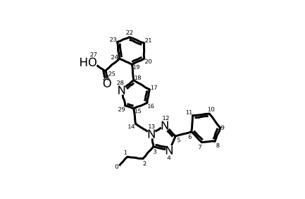 CCCc1nc(-c2ccccc2)nn1Cc1ccc(-c2ccccc2C(=O)O)nc1